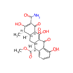 COC(=O)[C@H]1c2cccc(O)c2C(=O)C2=C(O)[C@]3(O)C(=O)C(C(N)=O)=C(O)[C@@H](C)[C@@H]3C[C@@H]21